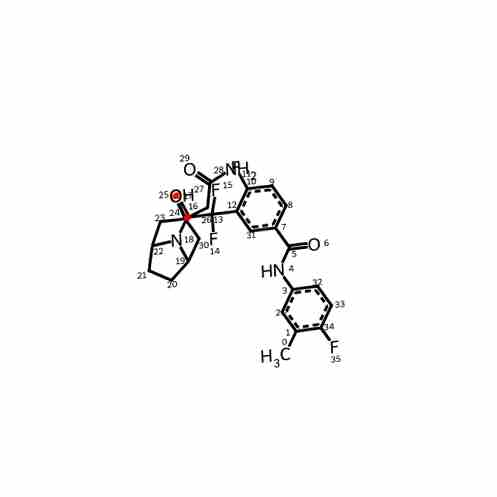 Cc1cc(NC(=O)c2ccc(F)c(C(F)(F)C(=O)N3C4CCC3CC(O)(CC(N)=O)C4)c2)ccc1F